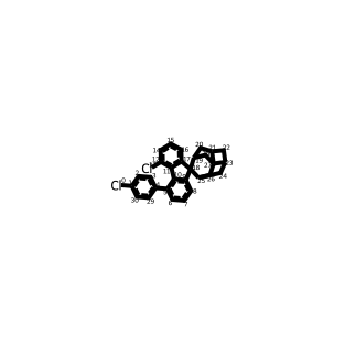 Clc1ccc(-c2cccc3c2-c2c(Cl)cccc2C32C3CC4CC5CC2CC45C3)cc1